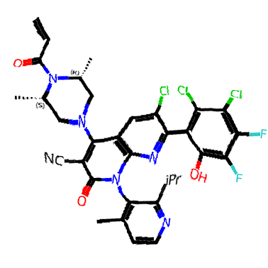 C=CC(=O)N1[C@H](C)CN(c2c(C#N)c(=O)n(-c3c(C)ccnc3C(C)C)c3nc(-c4c(O)c(F)c(F)c(Cl)c4Cl)c(Cl)cc23)C[C@@H]1C